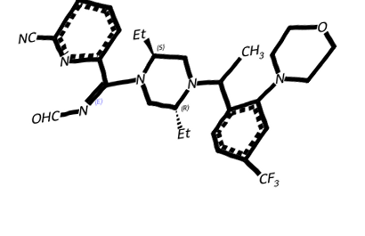 CC[C@H]1CN(C(C)c2ccc(C(F)(F)F)cc2N2CCOCC2)[C@H](CC)CN1/C(=N/C=O)c1cccc(C#N)n1